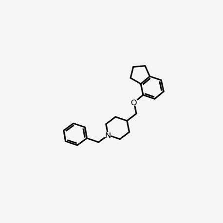 c1ccc(CN2CCC(COc3cccc4c3CCC4)CC2)cc1